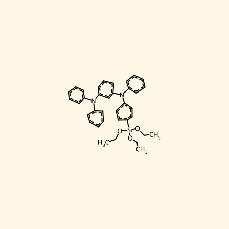 CCO[Si](OCC)(OCC)c1ccc(N(c2ccccc2)c2cccc(N(c3ccccc3)c3ccccc3)c2)cc1